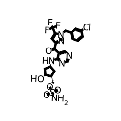 NS(=O)(=O)OC[C@H]1C[C@@H](Nc2ncncc2C(=O)c2cc(C(F)(F)F)n(Cc3cccc(Cl)c3)n2)C[C@@H]1O